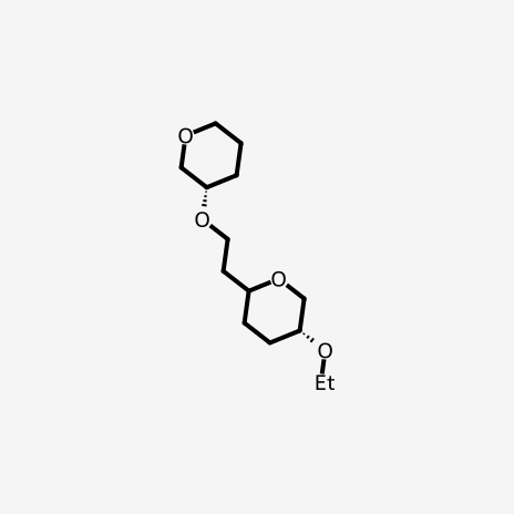 CCO[C@@H]1CCC(CCO[C@H]2CCCOC2)OC1